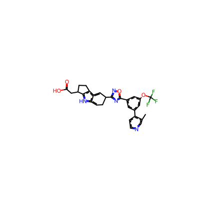 Cc1cnccc1-c1cc(OC(F)(F)F)cc(-c2nc(C3C=c4c5c([nH]c4=CC3)C(CC(=O)O)CC5)no2)c1